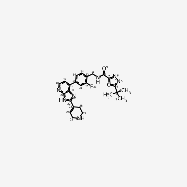 CC(C)(C)c1nnc(C(=O)NCc2ccc(-c3ccnc4[nH]c(C5=CCNCC5)nc34)cc2F)o1